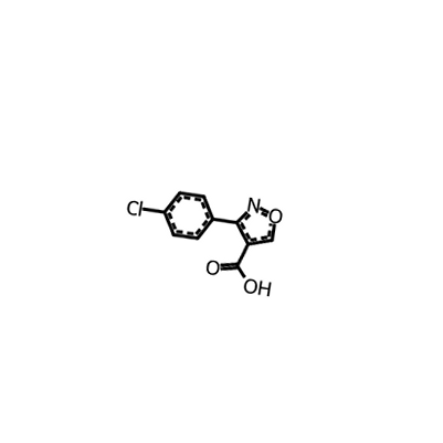 O=C(O)c1conc1-c1ccc(Cl)cc1